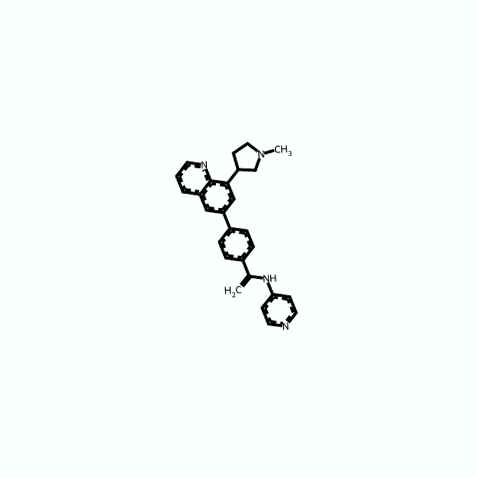 C=C(Nc1ccncc1)c1ccc(-c2cc(C3CCN(C)C3)c3ncccc3c2)cc1